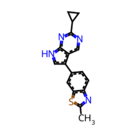 Cc1nc2ccc(-c3c[nH]c4nc(C5CC5)ncc34)cc2s1